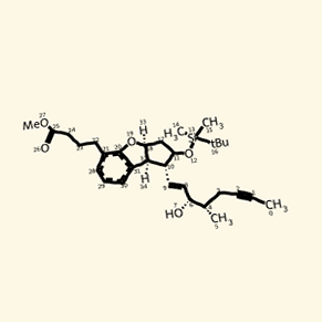 CC#CC[C@H](C)[C@H](O)/C=C/[C@H]1C(O[Si](C)(C)C(C)(C)C)C[C@@H]2Oc3c(CCCC(=O)OC)cccc3[C@@H]21